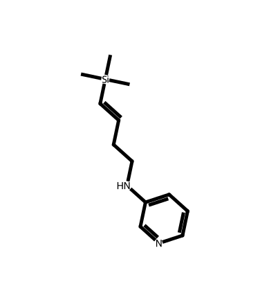 C[Si](C)(C)C=CCCNc1cccnc1